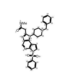 CNC(=O)Cc1nc2cnc3c(ccn3S(=O)(=O)c3ccccc3)c2n1C1CCN(Cc2ccccc2)CC1